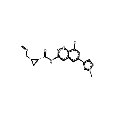 C=NC[C@@H]1C[C@H]1C(=O)Nc1cc2cc(-c3cnn(C)c3)cc(Cl)c2nn1